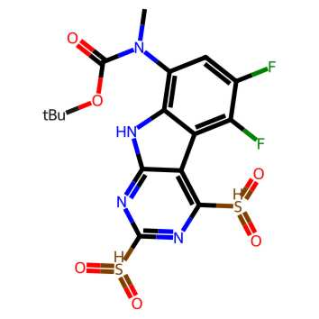 CN(C(=O)OC(C)(C)C)c1cc(F)c(F)c2c1[nH]c1nc([SH](=O)=O)nc([SH](=O)=O)c12